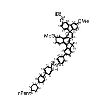 CCCCC[C@H]1CC[C@H](c2ccc(-c3ccc(C(=O)Nc4ccc(-c5ccc6c(c5)-c5c(c7c(c8cc(OC)ccc58)OC(c5ccc(OC)cc5)(c5ccc(OC[C@@H](C)CC)cc5)C=C7)C6(C)C)cc4)cc3)cc2)CC1